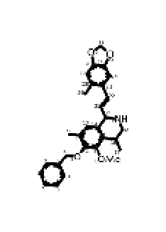 COc1c(OCc2ccccc2)c(C)cc2c1C(C)CNC2/C=C/c1cc2c(cc1C)OCO2